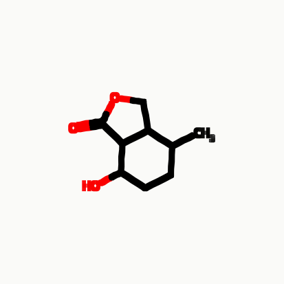 CC1CCC(O)C2C(=O)OCC12